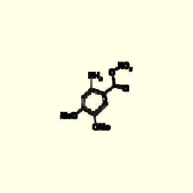 COc1cc(N)c(C(=O)O[N+](=O)[O-])cc1OC